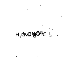 CN=Nc1ccc(N=[N+]([O-])c2ccc(N=NC)cc2)cc1